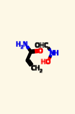 C=CC(N)=O.O=CNO